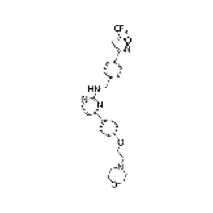 FC(F)(F)c1nc(-c2ccc(CNc3nccc(-c4ccc(OCCN5CCOCC5)cc4)n3)cc2)no1